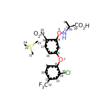 C[C@H](NOc1cc(Oc2ccc(C(F)(F)F)cc2Cl)ccc1[N+](=O)[O-])C(=O)O.C[S+](C)C